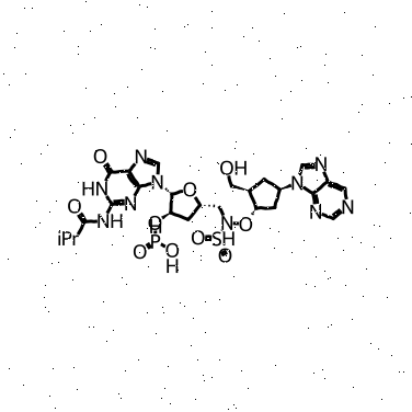 CC(C)C(=O)Nc1nc2c(ncn2[C@@H]2O[C@H](CN(O[C@H]3C[C@H](n4cnc5cncnc54)C[C@@H]3CO)[SH](=O)=O)C[C@H]2O[PH](=O)O)c(=O)[nH]1